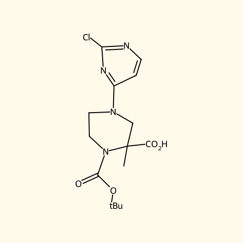 CC(C)(C)OC(=O)N1CCN(c2ccnc(Cl)n2)CC1(C)C(=O)O